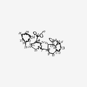 COC(=O)[C@H]1CN(C[C@@H]2CCc3cccnc3[C@@H](O)C2)CC[C@@H]1c1ccccc1C